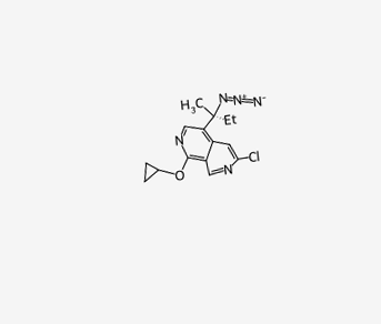 CC[C@](C)(N=[N+]=[N-])c1cnc(OC2CC2)c2cnc(Cl)cc12